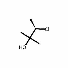 C[C@@H](Cl)C(C)(C)O